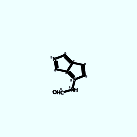 O=[C]NS1=C2C=NC=C2C=C1